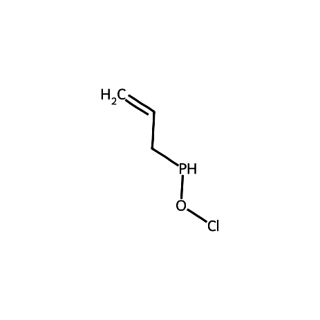 C=CCPOCl